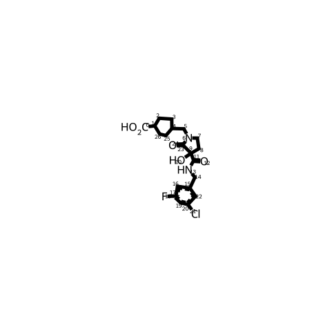 O=C(O)C1CCC(CN2CCC(O)(C(=O)NCc3cc(F)cc(Cl)c3)C2=O)CC1